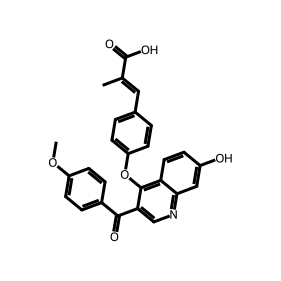 COc1ccc(C(=O)c2cnc3cc(O)ccc3c2Oc2ccc(/C=C(\C)C(=O)O)cc2)cc1